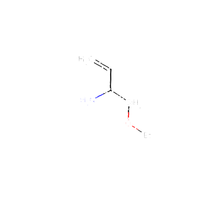 C=CC(N)[SiH2]OCC